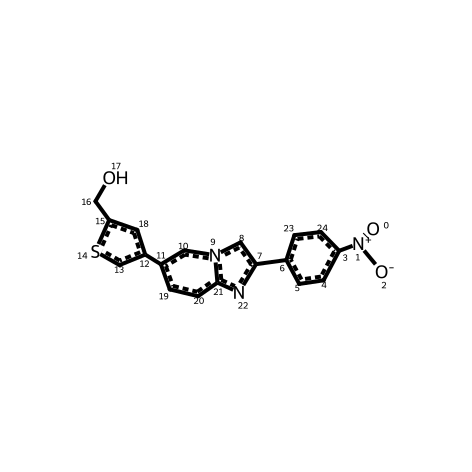 O=[N+]([O-])c1ccc(-c2cn3cc(-c4csc(CO)c4)ccc3n2)cc1